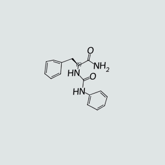 NC(=O)[C@H](Cc1ccccc1)NC(=O)Nc1ccccc1